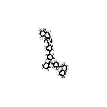 C1=CCC(N(c2ccc(-c3ccc(-c4nc5ccc6ccccc6c5o4)cc3)cc2)c2ccc(-c3cccc4ccccc34)cc2)C=C1